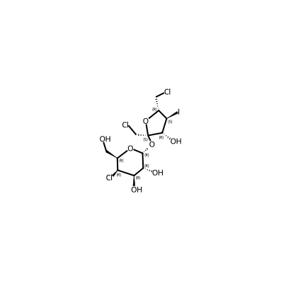 OC[C@H]1O[C@H](O[C@@]2(CCl)O[C@H](CCl)[C@@H](I)[C@@H]2O)[C@H](O)[C@@H](O)[C@H]1Cl